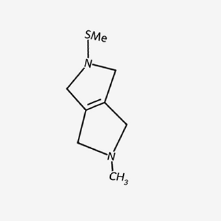 CSN1CC2=C(CN(C)C2)C1